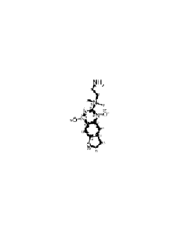 C[N+](C)(CCN)c1n[n+]([O-])c2cc3c(cc2[n+]1[O-])CCO3